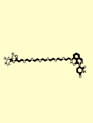 CC(C)(C)OC(=O)CCOCCOCCOCCOCCOCCOCCNc1cccc2cnn(C3CCC(=O)NC3=O)c(=O)c12